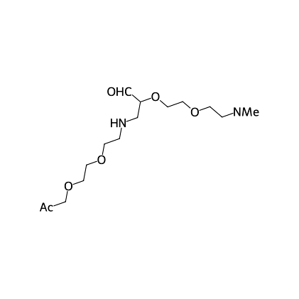 CNCCOCCOC(C=O)CNCCOCCOCC(C)=O